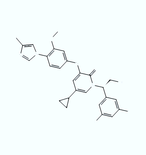 COc1cc(Nc2cc(C3CC3)cn([C@@H](CO)c3cc(F)cc(F)c3)c2=O)ccc1-n1cnc(C)c1